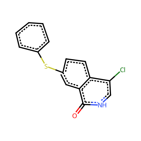 O=c1[nH]cc(Cl)c2ccc(Sc3ccccc3)cc12